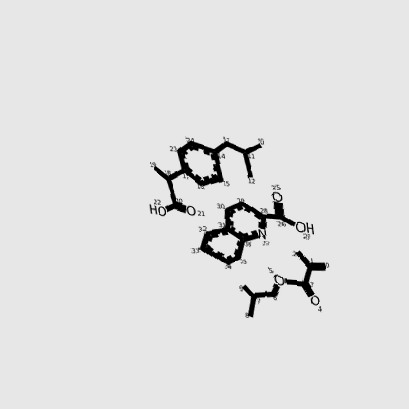 C=C(C)C(=O)OCC(C)C.CC(C)Cc1ccc(C(C)C(=O)O)cc1.O=C(O)c1ccc2ccccc2n1